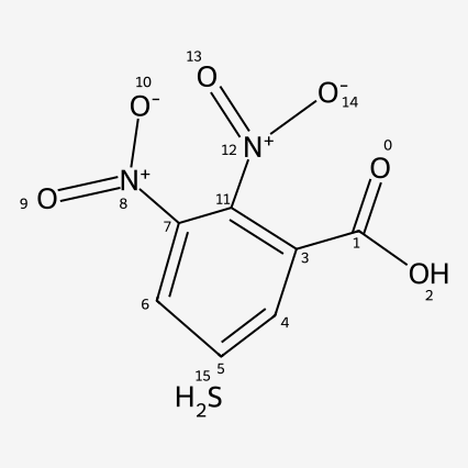 O=C(O)c1cccc([N+](=O)[O-])c1[N+](=O)[O-].S